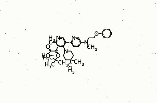 Cc1ncc(-c2ccc(N(C)CCOc3ccccc3)cn2)c(N2CCC(C)(C)CC2)c1[C@H](OC(C)(C)C)C(=O)O